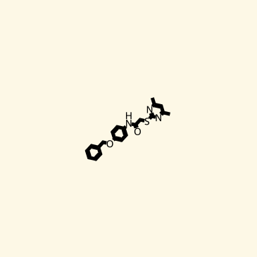 Cc1cc(C)nc(SCC(=O)Nc2ccc(OCc3ccccc3)cc2)n1